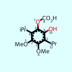 COc1c(OC)c(C(C)C)c(OC(=O)O)c(O)c1C(C)C